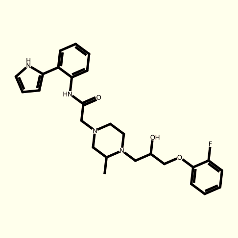 CC1CN(CC(=O)Nc2ccccc2-c2ccc[nH]2)CCN1CC(O)COc1ccccc1F